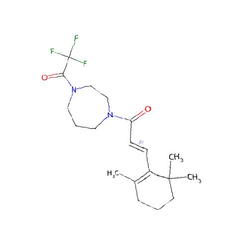 CC1=C(/C=C/C(=O)N2CCCN(C(=O)C(F)(F)F)CC2)C(C)(C)CCC1